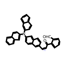 O=Cc1ccccc1C(=O)/C=C\c1ccc2cc(N(c3ccc4ccccc4c3)c3ccc4ccccc4c3)ccc2c1